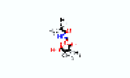 C=C(C)C(=O)NCOC(=O)C(C)C(C)C(=O)O